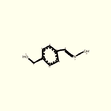 OCc1ccc(/[C]=N/O)cc1